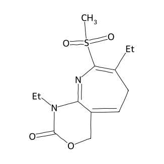 CCC1=C(S(C)(=O)=O)N=C2C(=CC1)COC(=O)N2CC